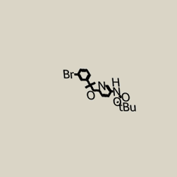 CC(C)(C)OC(=O)Nc1ccc(C(=O)C(C)(C)c2cccc(Br)c2)nc1